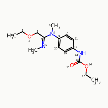 CCOCC(=NC)N(C)c1ccc(NC(=O)OCC)cc1